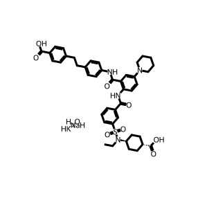 CCN([C@H]1CC[C@H](C(=O)O)CC1)S(=O)(=O)c1cccc(C(=O)Nc2ccc(N3CCCCC3)cc2C(=O)Nc2ccc(CCc3ccc(C(=O)O)cc3)cc2)c1.O.[KH].[NaH]